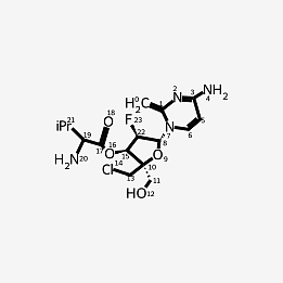 C=C1N=C(N)C=CN1[C@@H]1O[C@@](CO)(CCl)[C@@H](OC(=O)C(N)C(C)C)[C@H]1F